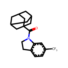 O=C(N1CCc2ccc(C(F)(F)F)cc21)C12CC3CC(CC(C3)C1)C2